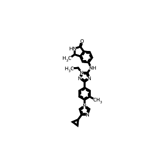 CCn1nc(-c2ccc(-n3cnc(C4CC4)c3)c(C)c2)nc1Nc1ccc2c(c1)C(C)NC2=O